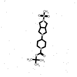 CC(C)(C)OC(=O)N1CCC(N2CC3CN(S(C)(=O)=O)CC3C2)CC1